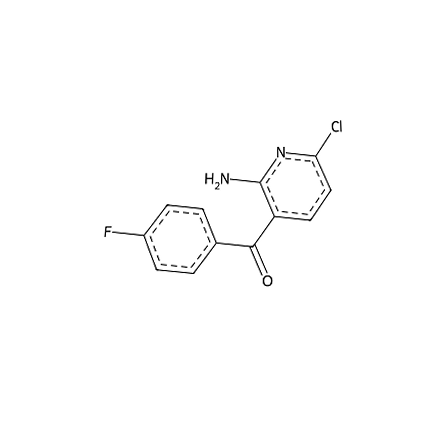 Nc1nc(Cl)ccc1C(=O)c1ccc(F)cc1